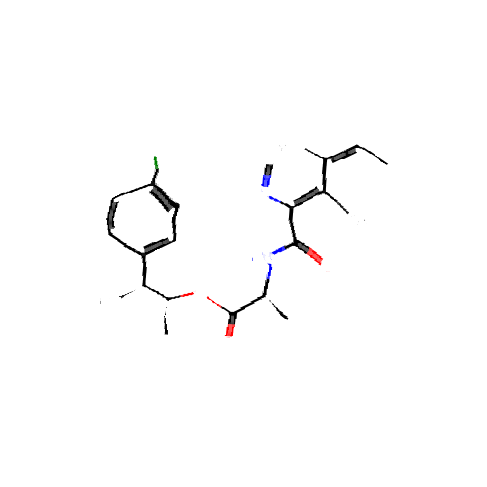 C=N/C(C(=O)N[C@@H](C)C(=O)O[C@@H](C)[C@H](c1ccc(F)cc1)C(C)C)=C(OC(C)=O)\C(=C/C)OC